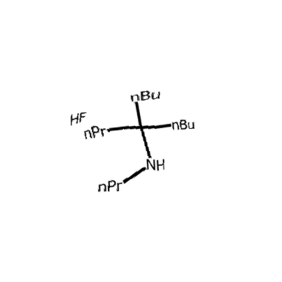 CCCCC(CCC)(CCCC)NCCC.F